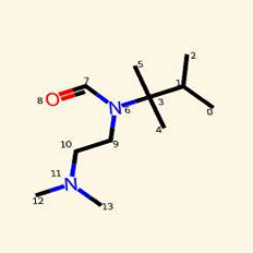 CC(C)C(C)(C)N(C=O)CCN(C)C